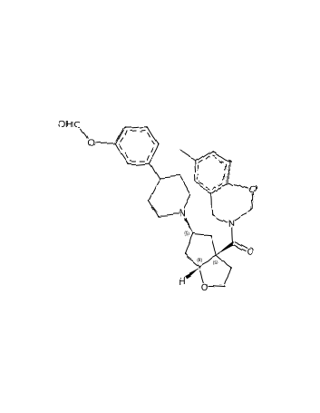 Cc1ccc2c(c1)CN(C(=O)[C@@]13CCO[C@@H]1C[C@@H](N1CCC(c4cccc(OC=O)c4)CC1)C3)CO2